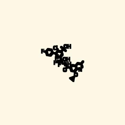 Cc1cnc2c(OC3CC3)cc(C(=O)NCC(O)(c3cc(C(C)(C)O)c(Cl)c(-c4ccc(F)cc4)n3)C(F)(F)F)cc2c1